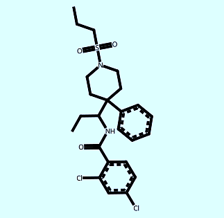 CCCS(=O)(=O)N1CCC(c2ccccc2)(C(CC)NC(=O)c2ccc(Cl)cc2Cl)CC1